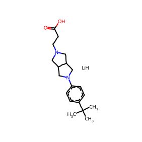 CC(C)(C)c1ccc(N2CC3CN(CCC(=O)O)CC3C2)cc1.[LiH]